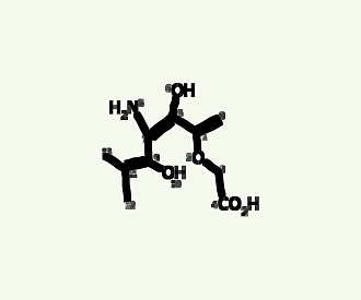 C=C(OCC(=O)O)/C(O)=C(/N)C(O)=C(C)C